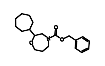 O=C(OCc1ccccc1)N1CCCOC(C2CCCCCC2)C1